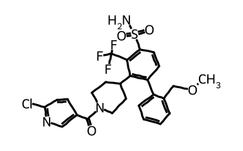 COCc1ccccc1-c1ccc(S(N)(=O)=O)c(C(F)(F)F)c1C1CCN(C(=O)c2ccc(Cl)nc2)CC1